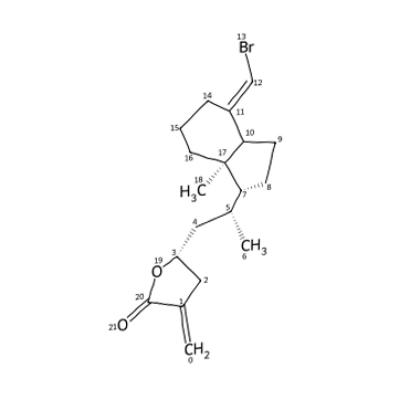 C=C1C[C@@H](C[C@@H](C)[C@H]2CCC3/C(=C/Br)CCC[C@@]32C)OC1=O